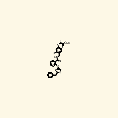 COC(=O)[C@@H](C)Oc1ccc(CNC(=O)c2cccnc2OC2=COC(Cc3ccccc3)O2)c(F)c1